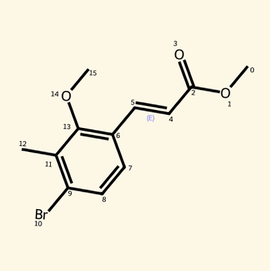 COC(=O)/C=C/c1ccc(Br)c(C)c1OC